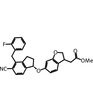 COC(=O)CC1COc2cc(O[C@@H]3CCc4c3ccc(C#N)c4Cc3ccccc3F)ccc21